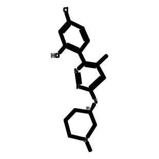 Cc1cc(S[C@@H]2CCCN(C)C2)nnc1-c1ccc(Cl)cc1O